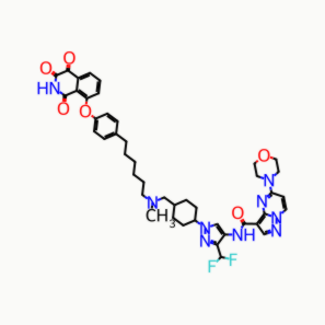 CN(CCCCCCc1ccc(Oc2cccc3c2C(=O)NC(=O)C3=O)cc1)CC1CCC(n2cc(NC(=O)c3cnn4ccc(N5CCOCC5)nc34)c(C(F)F)n2)CC1